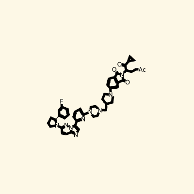 CC(=O)CCC(C(=O)C1CC1)N1C(=O)c2ccc(N3CCC(CN4CCN(c5cccc(-c6cnc7ccc(N8CCC[C@@H]8c8cccc(F)c8)nn67)n5)CC4)CC3)cc2C1=O